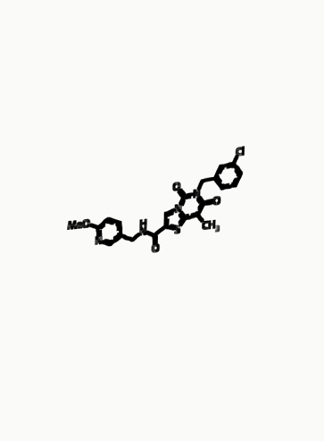 COc1ccc(CNC(=O)c2cn3c(=O)n(Cc4cccc(Cl)c4)c(=O)c(C)c3s2)cn1